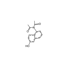 CC(=O)N(C(C)=O)c1cccc2cc(O)ccc12